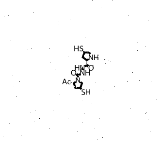 CC(=O)[C@H]1CC(S)CN1C(=O)NNC(=O)[C@@H]1C[C@@H](S)CN1